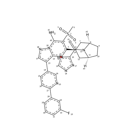 CS(=O)(=O)c1c([C@H]2C[C@H]3CC[C@@H](C2)N3C(=O)c2nnc[nH]2)nc2c(-c3ccc(-c4cccc(F)c4)nc3)cnn2c1N